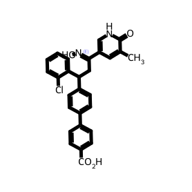 Cc1cc(/C(CC(c2ccc(-c3ccc(C(=O)O)cc3)cc2)c2ccccc2Cl)=N/O)c[nH]c1=O